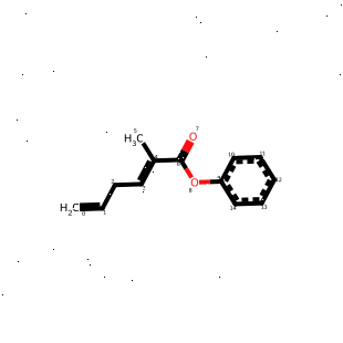 C=CCC=C(C)C(=O)Oc1ccccc1